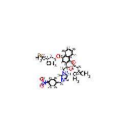 CC(C)CCOc1cc(C(=O)C[n+]2ccn(Cc3ccc([N+](=O)[O-])cc3)c2)c(OCCC(C)C)c2ccccc12.[Br-]